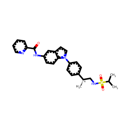 CC(C)S(=O)(=O)NC[C@H](C)c1ccc(-n2ccc3cc(NC(=O)c4ccccn4)ccc32)cc1